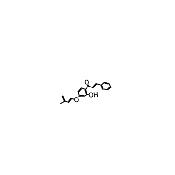 C=C(C)C=COc1ccc(C(=O)C=Cc2ccccc2)c(O)c1